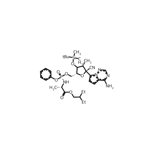 CCC(CC)COC(=O)[C@H](C)N[P@](=O)(OC[C@H]1O[C@@](C#N)(c2ccc3c(N)ncnn23)[C@H](C)C1O[Si](C)(C)C(C)(C)C)Oc1ccccc1